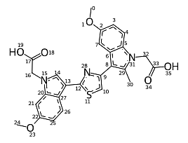 COc1ccc2c(c1)c(-c1csc(-c3cn(CC(=O)O)c4cc(OC)ccc34)n1)c(C)n2CC(=O)O